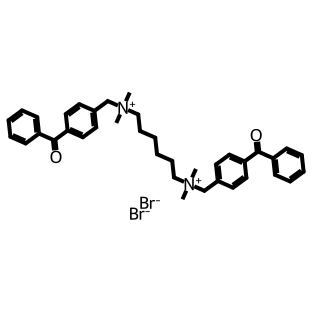 C[N+](C)(CCCCCC[N+](C)(C)Cc1ccc(C(=O)c2ccccc2)cc1)Cc1ccc(C(=O)c2ccccc2)cc1.[Br-].[Br-]